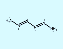 NN=CN=NN